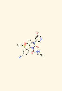 CCNC(=O)N1C(=O)N(c2cncc(Br)c2)C2=C(C(=O)CC2)C1c1ccc(C#N)cc1[S+](C)[O-]